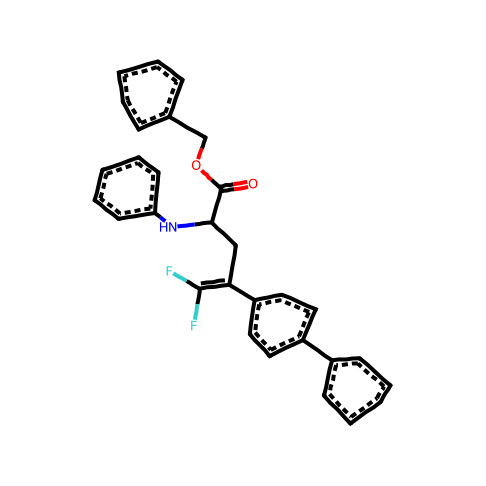 O=C(OCc1ccccc1)C(CC(=C(F)F)c1ccc(-c2ccccc2)cc1)Nc1ccccc1